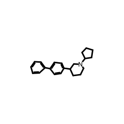 c1ccc(-c2ccc(C3CCCN(C4CCCC4)C3)cc2)cc1